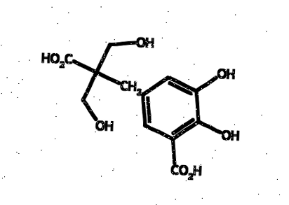 CC(CO)(CO)C(=O)O.O=C(O)c1cccc(O)c1O